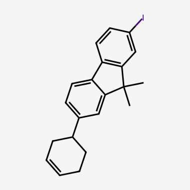 CC1(C)c2cc(I)ccc2-c2ccc(C3CC=CCC3)cc21